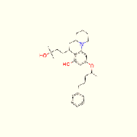 CC(CCCc1ccccc1)Oc1cc(O)c2c(c1)N1CCCCC1CC2CCC(C)(C)O